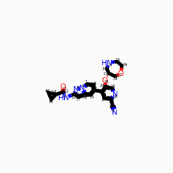 N#Cc1cc(-c2ccn3nc(NC(=O)C4CC4)cc3c2)c(O[C@@H]2CNCCOC2)cn1